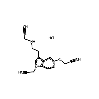 C#CCNCCc1cn(CC#C)c2ccc(OCC#C)cc12.Cl